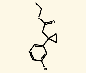 CCOC(=O)CC1(c2cccc(Br)c2)CC1